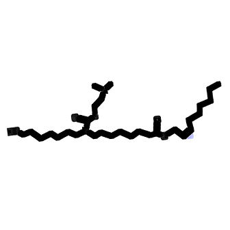 CCCCCC/C=C\COC(=O)CCCCCCCN(CCCCCCCO)C(=O)SCCN(C)C